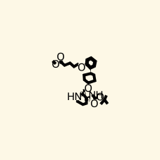 COC(=O)CCCCOc1ccccc1[C@H]1CC[C@@H](OC[C@@H]2NCCC[C@@H]2NC(=O)OC(C)(C)C)CC1